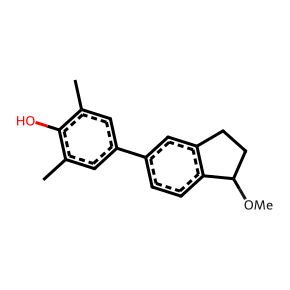 COC1CCc2cc(-c3cc(C)c(O)c(C)c3)ccc21